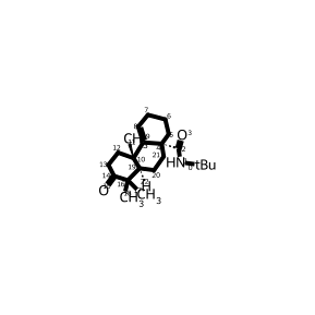 CC(C)(C)NC(=O)[C@@]12CCCC=C1[C@@]1(C)CCC(=O)C(C)(C)[C@@H]1CC2